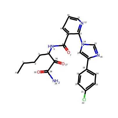 CCCCC(NC(=O)c1cccnc1-n1cnc(-c2ccc(Cl)cc2)c1)C(=O)C(N)=O